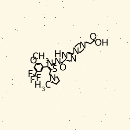 COc1cc(-c2nc(NC(=O)c3cnc(N4CCN(CCC(=O)O)CC4)cn3)sc2CN2CCC[C@H]2C)cc(C(F)(F)F)c1